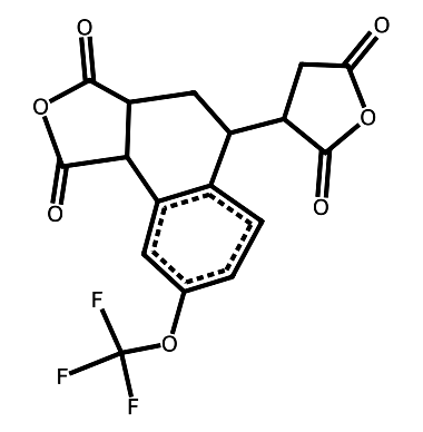 O=C1CC(C2CC3C(=O)OC(=O)C3c3cc(OC(F)(F)F)ccc32)C(=O)O1